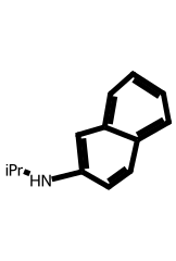 CC(C)Nc1ccc2ccccc2c1